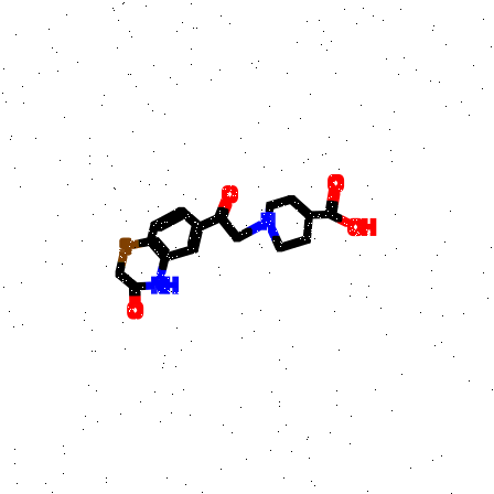 O=C1CSc2ccc(C(=O)CN3CCC(C(=O)O)CC3)cc2N1